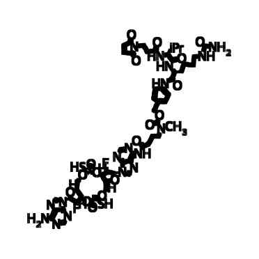 CC(C)[C@H](NC(=O)CCN1C(=O)C=CC1=O)C(=O)N[C@@H](CCCCNC(N)=O)C(=O)Nc1ccc(COC(=O)N(C)CCCC(=O)Nc2ncnc3c2ncn3[C@@H]2O[C@@H]3CO[P@@](=O)(S)O[C@H]4[C@@H](F)[C@H](n5cnc6c(N)ncnc65)O[C@@H]4CO[P@@](=O)(S)O[C@H]3[C@H]2F)cc1